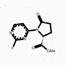 COC(=O)[C@H]1CCC(=O)N1c1ccnc(F)n1